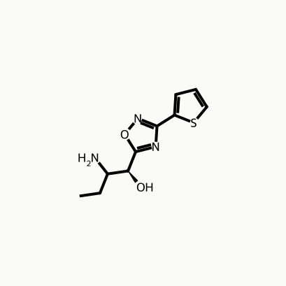 CCC(N)[C@H](O)c1nc(-c2cccs2)no1